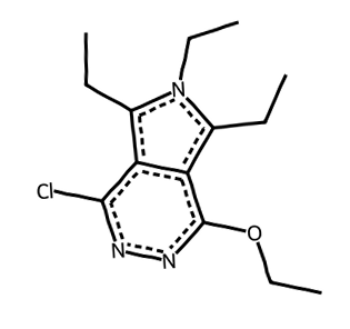 CCOc1nnc(Cl)c2c(CC)n(CC)c(CC)c12